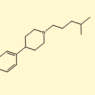 CC(C)CCCN1CCC(c2ccccc2)CC1